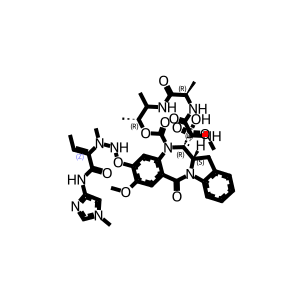 C/C=C(/C(=O)Nc1cn(C)cn1)N(C)NOc1cc2c(cc1OC)C(=O)N1c3ccccc3C[C@H]1[C@@H](S(=O)(=O)O)N2C(=O)O[C@H](C)C(C)NC(=O)[C@@H](C)NC(=O)[C@@H](C)NC